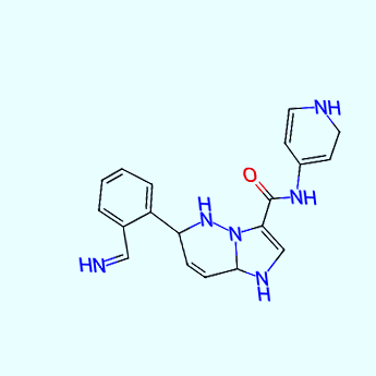 N=Cc1ccccc1C1C=CC2NC=C(C(=O)NC3=CCNC=C3)N2N1